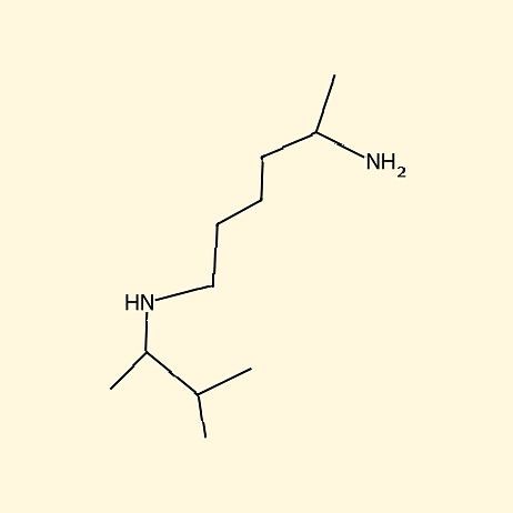 CC(N)CCCCNC(C)C(C)C